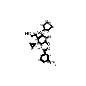 CCN1C(=O)[C@H](NC(=O)c2cccc(C(F)(F)F)c2)[C@H](C2CC2)c2c(CO)nn(C3CCOCC3)c21